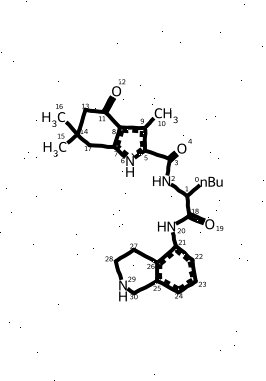 CCCCC(NC(=O)c1[nH]c2c(c1C)C(=O)CC(C)(C)C2)C(=O)Nc1cccc2c1CCNC2